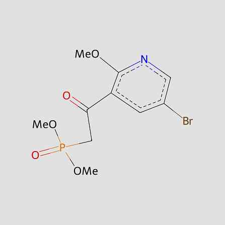 COc1ncc(Br)cc1C(=O)CP(=O)(OC)OC